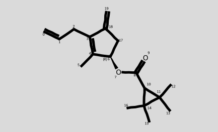 C=CCC1=C(C)[C@H](OC(=O)C2C(C)(C)C2(C)C)CC1=C